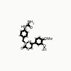 CCOc1cc(C2=NN(Cc3ccc(NC(N)=O)cc3)C(=O)SC2)ccc1OC